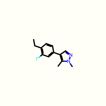 CCc1ccc(-c2cnn(C)c2C)cc1F